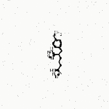 C=Cc1ccc(CC(CCCc2nnn[nH]2)c2nnn[nH]2)cc1